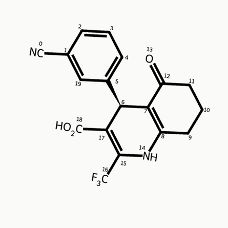 N#Cc1cccc([C@H]2C3=C(CCCC3=O)NC(C(F)(F)F)=C2C(=O)O)c1